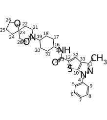 Cc1nn(-c2ccccc2)c2sc(C(=O)NC3CCC(N4CCC5(CCCO5)CO4)CC3)cc12